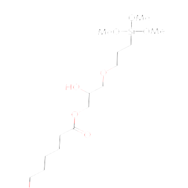 CO[Si](CCCOCC(O)COC(=O)CCCCCO)(OC)OC